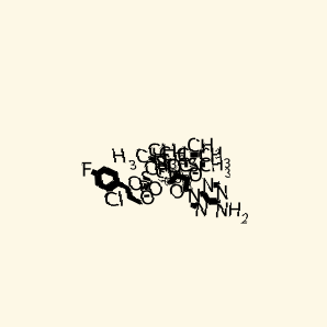 CC(C)(C)[Si](C)(C)O[C@@H]1[C@H](O[Si](C)(C)C(C)(C)C)[C@@H](COP2(=S)OCCC(c3ccc(F)cc3Cl)O2)O[C@H]1n1cnc2c(N)ncnc21